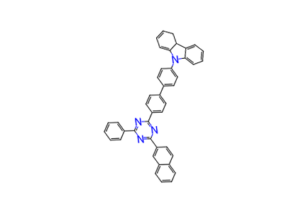 C1=CCC2C(=C1)N(c1ccc(-c3ccc(-c4nc(-c5ccccc5)nc(-c5ccc6ccccc6c5)n4)cc3)cc1)c1ccccc12